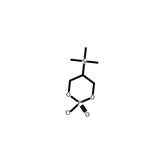 C[Si](C)(C)C1COP(=O)(Cl)OC1